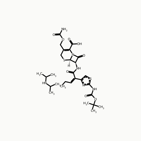 CC(C)NC(C)C.CC/C=C(\C(=O)N[C@@H]1C(=O)N2C(C(=O)O)=C(COC(N)=O)CS[C@H]12)c1csc(NC(=O)OC(C)(C)C)n1